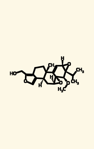 CO[C@H]1[C@]23O[C@H]2C[C@H]2c4coc(CO)c4CC[C@]2(C)C3=C[C@@H]2O[C@@]21C(C)C